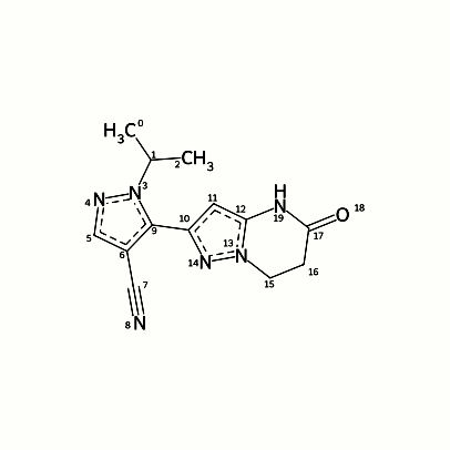 CC(C)n1ncc(C#N)c1-c1cc2n(n1)CCC(=O)N2